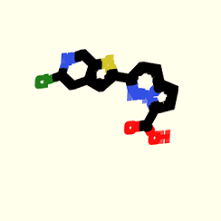 O=C(O)c1ccc2ccc(-c3cc4c(s3)C=NC(Cl)C4)nn12